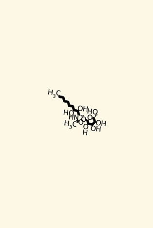 CCCCCCC[C@@H](O)[C@@H](O)[C@H](CO[C@H]1O[C@H](CO)[C@@H](O)[C@H](O)[C@H]1O)NC(C)=O